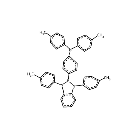 Cc1ccc(N2B(c3ccc(N(c4ccc(C)cc4)c4ccc(C)cc4)cc3)N(c3ccc(C)cc3)c3ccccc32)cc1